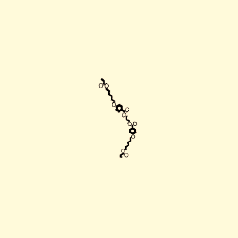 C=CC(=O)OCCCCCCOc1ccc(C(=O)OCCCOC(=O)c2ccc(OCCCCCCOC(=O)C=C)cc2)cc1